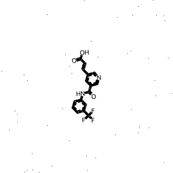 O=C(O)/C=C/c1cncc(C(=O)Nc2cccc(C(F)(F)F)c2)c1